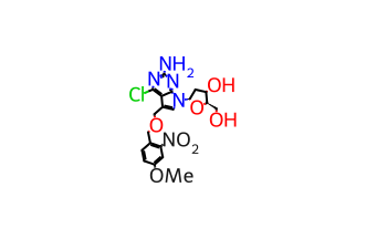 COc1ccc(COCc2cn([C@H]3C[C@@H](O)[C@@H](CO)O3)c3nc(N)nc(Cl)c23)c([N+](=O)[O-])c1